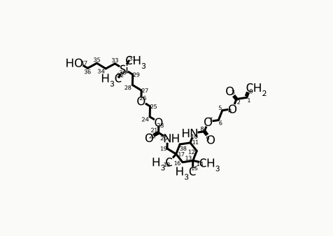 C=CC(=O)OCCOC(=O)NC1CC(C)(C)CC(C)(CNC(=O)OCCOCCC[Si](C)(C)CCCCO)C1